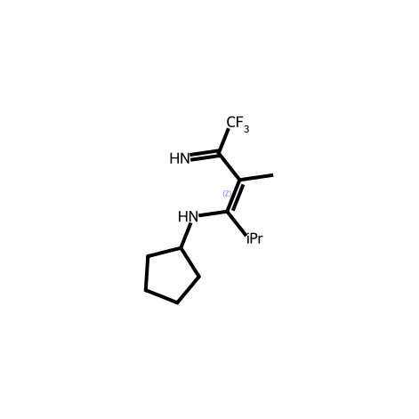 C/C(C(=N)C(F)(F)F)=C(/NC1CCCC1)C(C)C